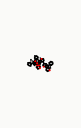 c1ccc(-c2cc(-c3ccccc3)nc(-c3ccccc3-n3c4ccccc4c4c(-c5ccc6c7ccccc7n(-c7ccccc7)c6c5)cccc43)n2)cc1